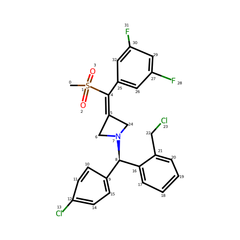 CS(=O)(=O)C(=C1CN([C@H](c2ccc(Cl)cc2)c2ccccc2CCl)C1)c1cc(F)cc(F)c1